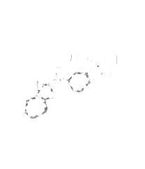 CC(C)(C)c1cccc(Nc2nc3ccccc3o2)c1